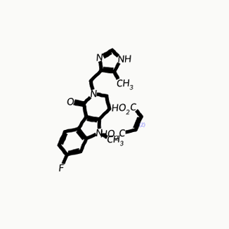 Cc1[nH]cnc1CN1CCc2c(c3ccc(F)cc3n2C)C1=O.O=C(O)/C=C\C(=O)O